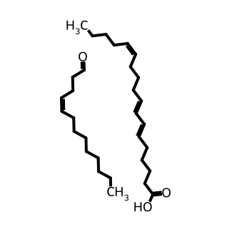 CCCC/C=C\CCC/C=C/C=C/CCCCC(=O)O.CCCCCCCC/C=C\CCC=O